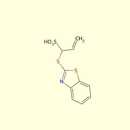 C=CC(Sc1nc2ccccc2s1)S(=O)(=O)O